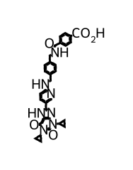 O=C(O)c1ccc(C(=O)NCc2ccc(CNc3ccc(-c4nc5c([nH]4)c(=O)n(C4CC4)c(=O)n5C4CC4)cn3)cc2)cc1